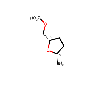 B[C@H]1CC[C@@H](COC(=O)O)O1